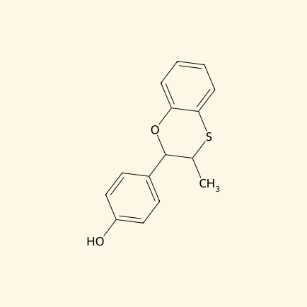 CC1Sc2ccccc2OC1c1ccc(O)cc1